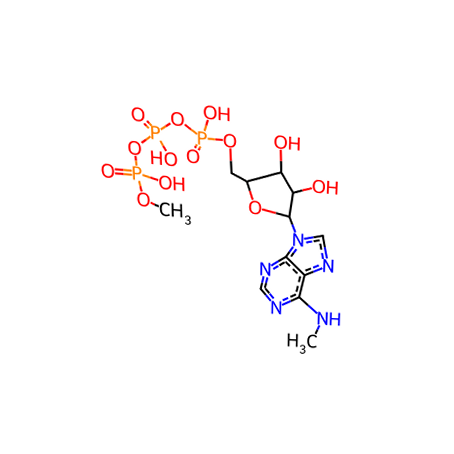 CNc1ncnc2c1ncn2C1OC(COP(=O)(O)OP(=O)(O)OP(=O)(O)OC)C(O)C1O